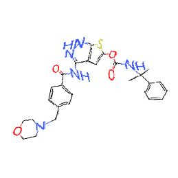 CC(C)(NC(=O)Oc1cc2c(NC(=O)c3ccc(CN4CCOCC4)cc3)n[nH]c2s1)c1ccccc1